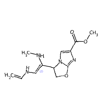 C=CN/C=C(\NC)C1COc2nc(C(=O)OC)cn21